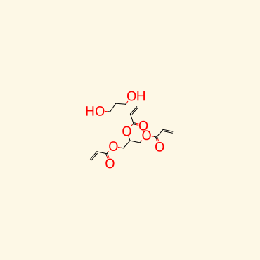 C=CC(=O)OCC(COC(=O)C=C)OC(=O)C=C.OCCCO